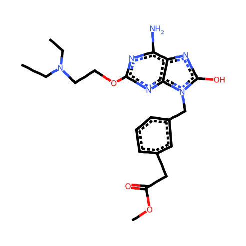 CCN(CC)CCOc1nc(N)c2nc(O)n(Cc3cccc(CC(=O)OC)c3)c2n1